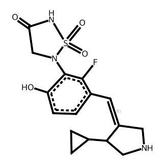 O=C1CN(c2c(O)ccc(/C=C3/CNCC3C3CC3)c2F)S(=O)(=O)N1